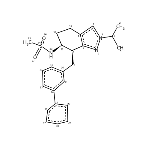 CC(C)n1cc2c(n1)[C@@H](Cc1cccc(-c3ccccc3)c1)[C@@H](NS(C)(=O)=O)CC2